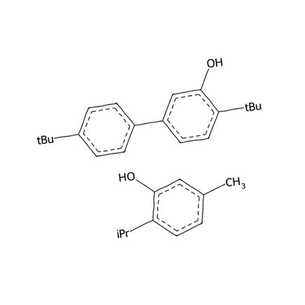 CC(C)(C)c1ccc(-c2ccc(C(C)(C)C)c(O)c2)cc1.Cc1ccc(C(C)C)c(O)c1